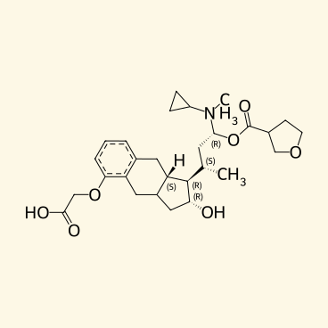 C[C@@H](C[C@@H](OC(=O)C1CCOC1)N(C)C1CC1)[C@H]1[C@H](O)CC2Cc3c(cccc3OCC(=O)O)C[C@@H]21